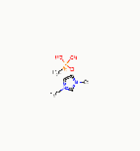 CC[n+]1ccn(C)c1.C[PH](O)(O)O